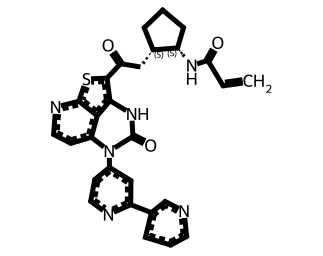 C=CC(=O)N[C@H]1CCC[C@H]1CC(=O)c1sc2nccc3c2c1NC(=O)N3c1ccnc(-c2cccnc2)c1